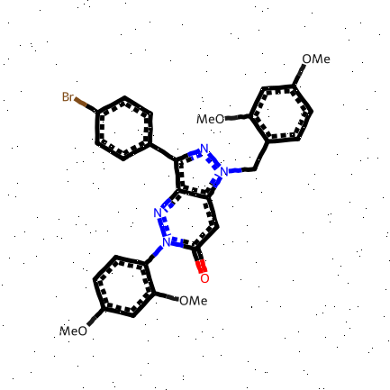 COc1ccc(Cn2nc(-c3ccc(Br)cc3)c3nn(-c4ccc(OC)cc4OC)c(=O)cc32)c(OC)c1